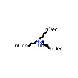 CCCCCCCCCCCCCC[N+](CCCCCCCCC)(CCCCCCCCCCCCCC)CCCCCCCCCCCCCC